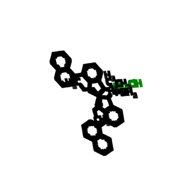 CCCC1=Cc2c(-c3cccc4ccccc34)cccc2[CH]1[Hf]([CH3])([CH3])(=[SiH2])[CH]1C(CCC)=Cc2c(-c3cccc4ccccc34)cccc21.Cl.Cl